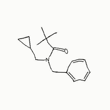 CC(C)(C)C(=O)N(Cc1ccccc1)CC1CC1